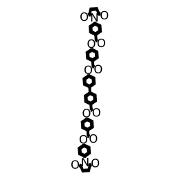 O=C(Oc1ccc(-c2ccc(C(=O)Oc3ccc(C(=O)Oc4ccc(N5C(=O)C=CC5=O)cc4)cc3)cc2)cc1)c1ccc(OC(=O)c2ccc(N3C(=O)C=CC3=O)cc2)cc1